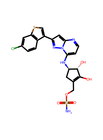 NS(=O)(=O)OCC1=C(O)[C@@H](O)[C@H](Nc2ccnc3cc(-c4csc5cc(Cl)ccc45)nn23)C1